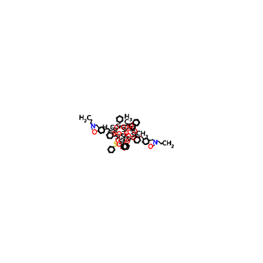 C=CCN1COc2ccc(CC[Si]3(C)O[Si]4(c5ccccc5)O[C@@H](C)[Si]5(c6ccccc6)O[Si](C)(CCc6ccc7c(c6)CN(CC=C)CO7)O[Si]6(c7ccccc7)OC[Si]7(O[Si](c8ccccc8)(OC7(c7ccccc7)[Si](OSc7ccccc7)(c7ccccc7)O6)O3)O[Si](c3ccccc3)(O4)O5)cc2C1